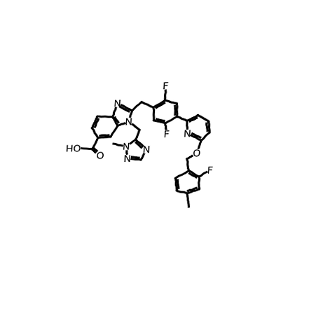 Cc1ccc(COc2cccc(-c3cc(F)c(Cc4nc5ccc(C(=O)O)cc5n4Cc4ncnn4C)cc3F)n2)c(F)c1